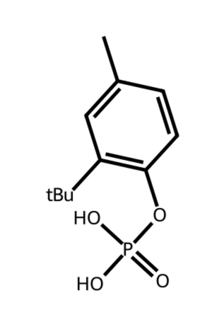 Cc1ccc(OP(=O)(O)O)c(C(C)(C)C)c1